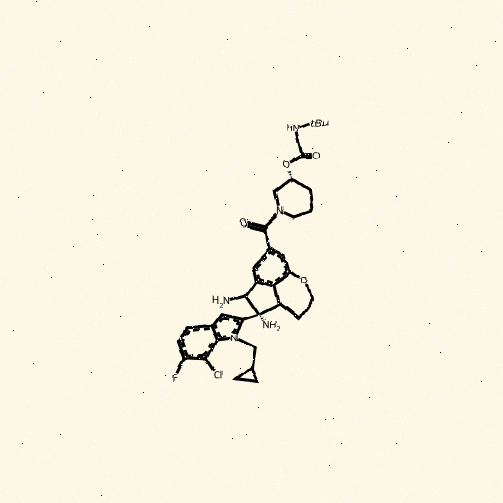 CC(C)(C)NC(=O)O[C@@H]1CCCN(C(=O)c2cc3c4c(c2)C(N)[C@](N)(c2cc5ccc(F)c(Cl)c5n2CC2CC2)C4CCO3)C1